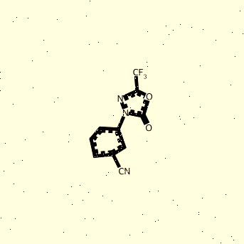 N#Cc1cccc(-n2nc(C(F)(F)F)oc2=O)c1